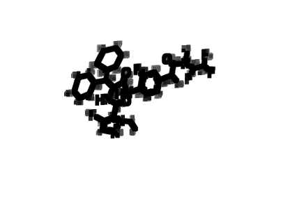 CCn1ncc(F)c1C(=O)NC(C(=O)Nc1ccc(C(C)C(=O)N(C)C(F)C(F)F)cc1F)C(C1CCCCC1)C1CCCCC1